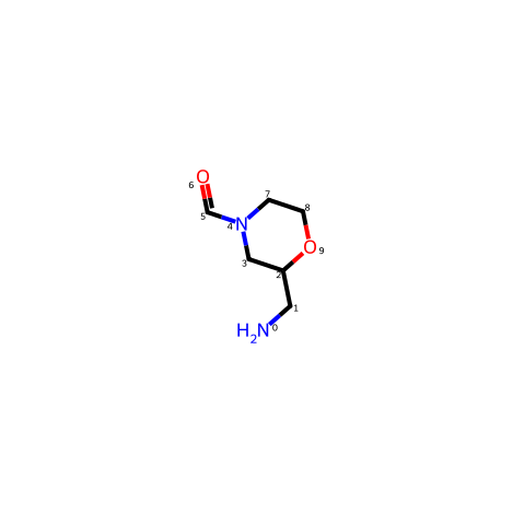 NCC1CN(C=O)CCO1